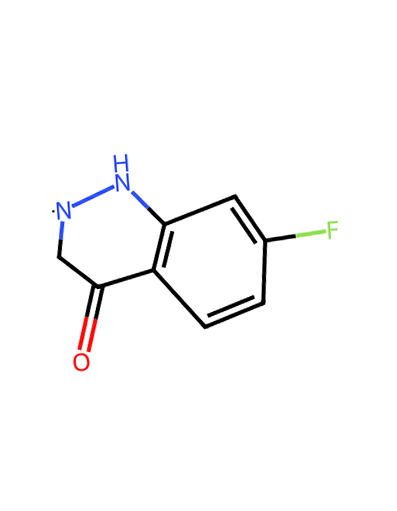 O=C1C[N]Nc2cc(F)ccc21